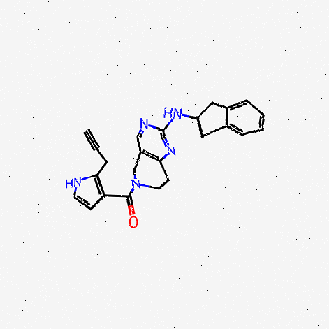 C#CCc1[nH]ccc1C(=O)N1CCc2nc(NC3Cc4ccccc4C3)ncc2C1